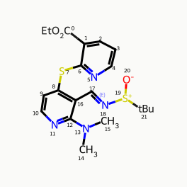 CCOC(=O)c1cccnc1Sc1ccnc(N(C)C)c1/C=N/[S+]([O-])C(C)(C)C